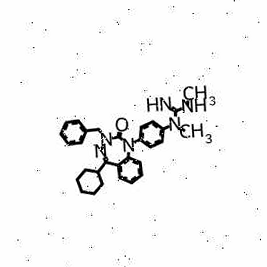 CNC(=N)N(C)c1ccc(N2C(=O)N(Cc3ccccc3)N=C(C3CCCCC3)c3ccccc32)cc1